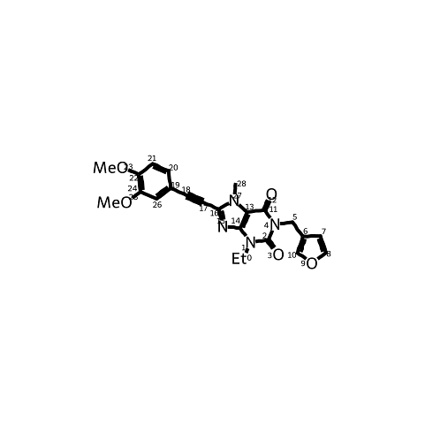 CCn1c(=O)n(Cc2ccoc2)c(=O)c2c1nc(C#Cc1ccc(OC)c(OC)c1)n2C